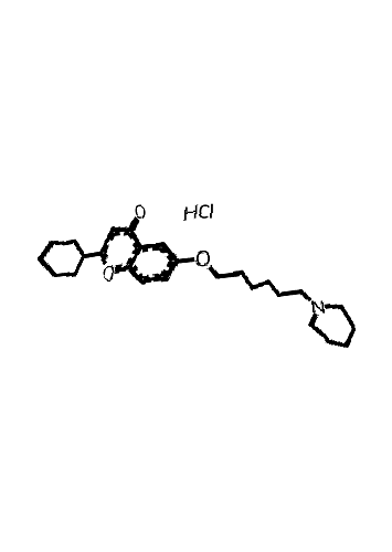 Cl.O=c1cc(C2CCCCC2)oc2ccc(OCCCCCCN3CCCCC3)cc12